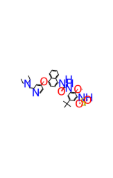 CCN(CC)Cc1cc(Oc2ccc(NC(=O)Nc3cc(C(C)(C)C)cc(NS(C)(=O)=O)c3OC)c3ccccc23)ccn1